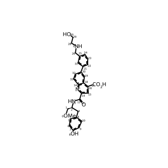 COC[C@H](Cc1ccc(O)cc1)NC(=O)c1cc(C(=O)O)c2cc(-c3cccc(CNCCO)c3)ccc2n1